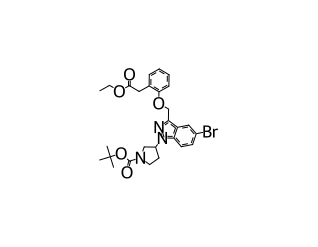 CCOC(=O)Cc1ccccc1OCc1nn(C2CCN(C(=O)OC(C)(C)C)C2)c2ccc(Br)cc12